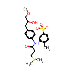 CCOCC(O)Cc1ccc(NC(=O)CC[S+](C)C)cc1.Cc1ccc(S(=O)(=O)[O-])cc1